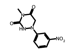 CN1C(=O)CN(c2cccc([N+](=O)[O-])c2)NC1=O